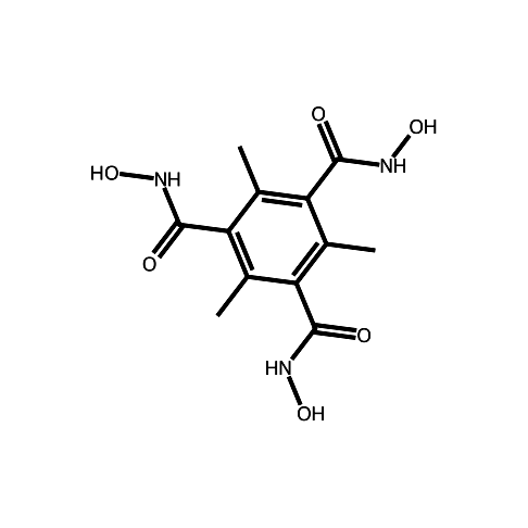 Cc1c(C(=O)NO)c(C)c(C(=O)NO)c(C)c1C(=O)NO